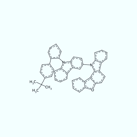 CC(C)(C)c1ccc(-c2ccccc2-n2c3ccccc3c3cc(-n4c5ccccc5c5ccc6oc7ccccc7c6c54)ccc32)cc1